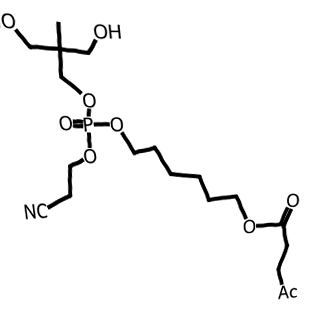 CC(=O)CCC(=O)OCCCCCCOP(=O)(OCCC#N)OCC(C)(CO)CO